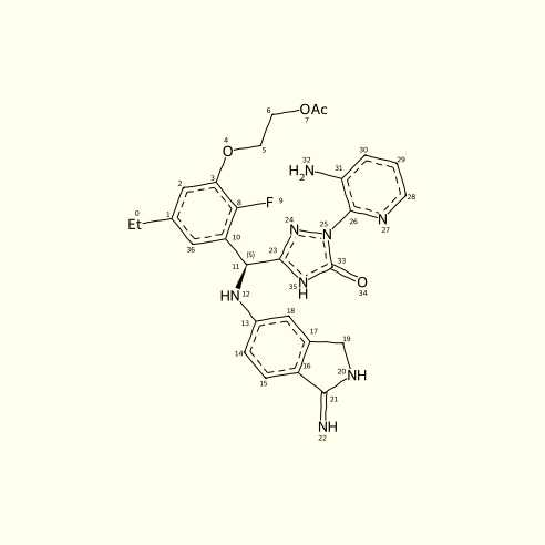 CCc1cc(OCCOC(C)=O)c(F)c([C@H](Nc2ccc3c(c2)CNC3=N)c2nn(-c3ncccc3N)c(=O)[nH]2)c1